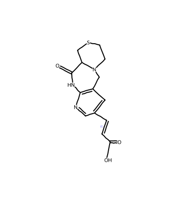 O=C(O)/C=C/c1cnc2c(c1)CN1CCSCC1C(=O)N2